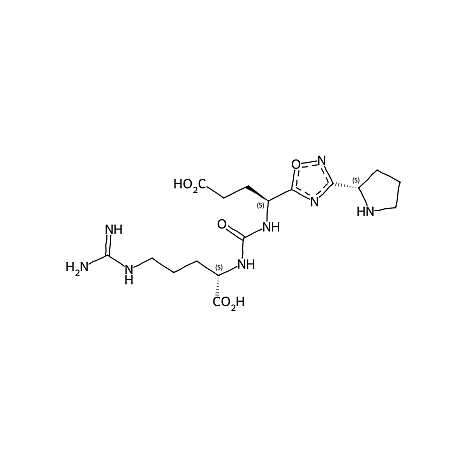 N=C(N)NCCC[C@H](NC(=O)N[C@@H](CCC(=O)O)c1nc([C@@H]2CCCN2)no1)C(=O)O